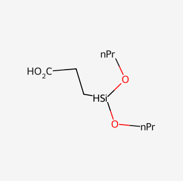 CCCO[SiH](CCC(=O)O)OCCC